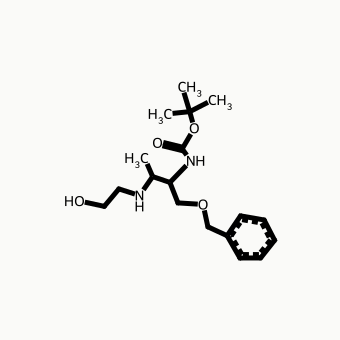 CC(NCCO)C(COCc1ccccc1)NC(=O)OC(C)(C)C